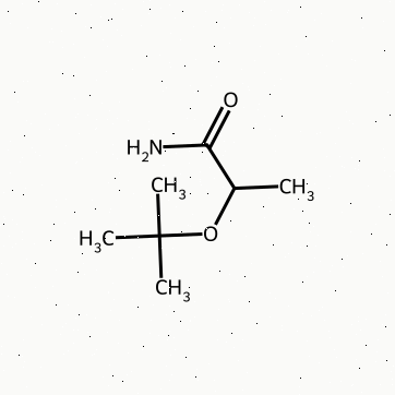 CC(OC(C)(C)C)C(N)=O